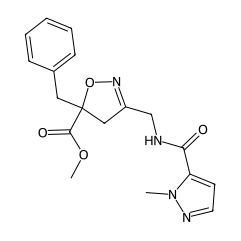 COC(=O)C1(Cc2ccccc2)CC(CNC(=O)c2ccnn2C)=NO1